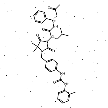 CC(=O)C[C@H](NC(=O)[C@H](CC(C)C)N1C(=O)N(Cc2ccc(NC(=O)Nc3ccccc3C)cc2)C(C)(C)C1=O)c1ccccc1